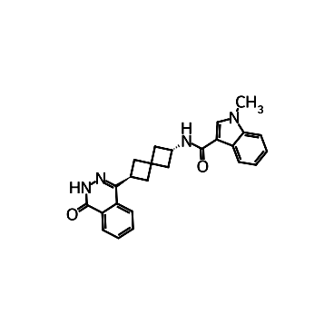 Cn1cc(C(=O)N[C@H]2CC3(C2)C[C@H](c2n[nH]c(=O)c4ccccc42)C3)c2ccccc21